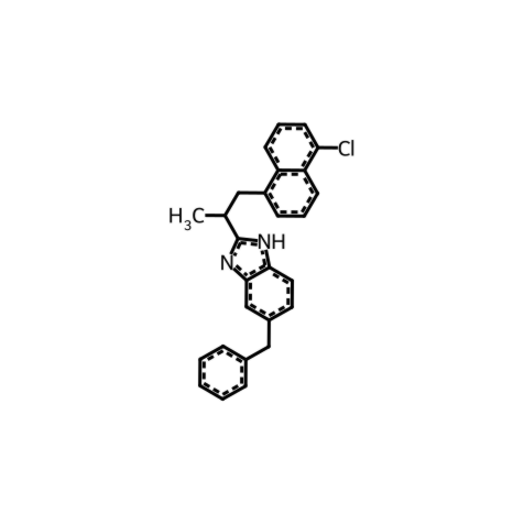 CC(Cc1cccc2c(Cl)cccc12)c1nc2cc(Cc3ccccc3)ccc2[nH]1